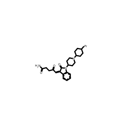 CC(C)C1CCC(N2CCC(N3C(=O)/C(=C\C(=O)CCC(N)=O)c4ccccc43)CC2)CC1